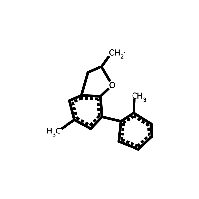 [CH2]C1Cc2cc(C)cc(-c3ccccc3C)c2O1